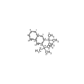 CC(C)(C)c1cc2cccnc2nc1C(C)(C)C